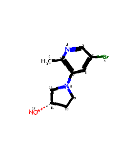 Cc1ncc(Br)cc1N1CC[C@H](O)C1